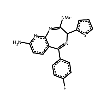 CNC1=Nc2nc(N)ccc2C(c2ccc(F)cc2)=NC1c1cccs1